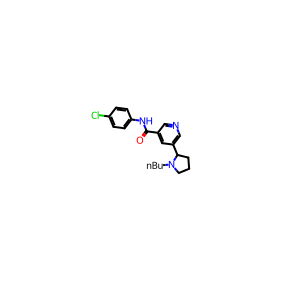 CCCCN1CCCC1c1cncc(C(=O)Nc2ccc(Cl)cc2)c1